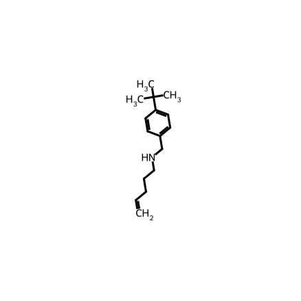 C=CCCCNCc1ccc(C(C)(C)C)cc1